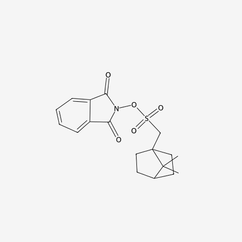 CC1(C)C2CCC1(CS(=O)(=O)ON1C(=O)c3ccccc3C1=O)CC2